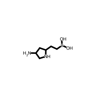 NC1CNC(CCB(O)O)C1